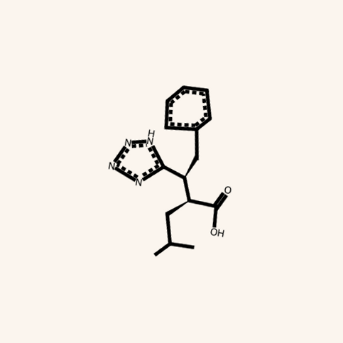 CC(C)C[C@H](C(=O)O)[C@H](Cc1ccccc1)c1nnn[nH]1